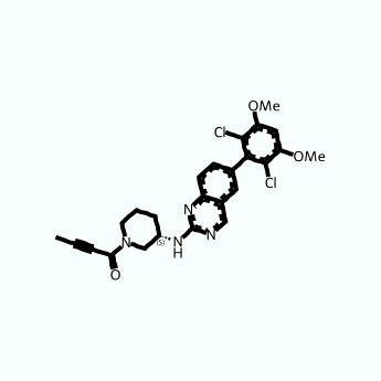 CC#CC(=O)N1CCC[C@H](Nc2ncc3cc(-c4c(Cl)c(OC)cc(OC)c4Cl)ccc3n2)C1